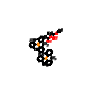 CC(=O)O.CC(=O)O.[CH2-]c1ccccc1P(c1ccccc1C)c1ccccc1C.[CH2-]c1ccccc1P(c1ccccc1C)c1ccccc1C.[Pd].[Pd]